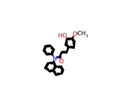 COc1ccc(C=CC(=O)N(c2ccccc2)c2cccc3ccccc23)cc1O